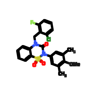 COc1c(C)cc(N2C(=O)N(Cc3c(F)cccc3Cl)c3ccccc3S2(=O)=O)cc1C